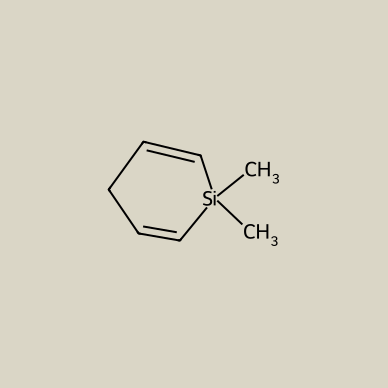 C[Si]1(C)C=CCC=C1